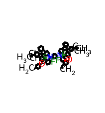 C=Cc1ccc(Oc2ccc(C3(c4ccc(C(C)(C)C)cc4)c4ccccc4-c4ccc(N(c5ccc(N(c6ccc7c(c6)C(c6ccc(Oc8ccc(C=C)cc8)cc6)(c6ccc(C(C)(C)C)cc6)c6ccccc6-7)c6c(F)cccc6F)cc5)c5c(F)cccc5F)cc43)cc2)cc1